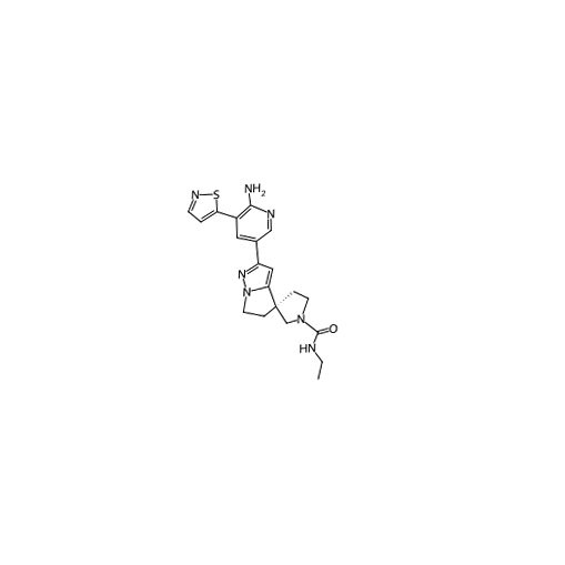 CCNC(=O)N1CC[C@@]2(CCn3nc(-c4cnc(N)c(-c5ccns5)c4)cc32)C1